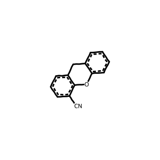 N#Cc1cccc2c1Oc1ccccc1C2